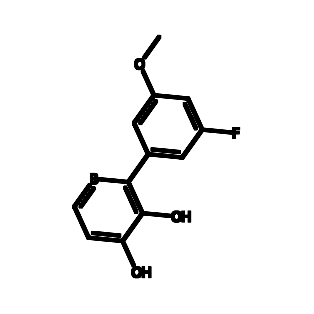 COc1cc(F)cc(-c2bccc(O)c2O)c1